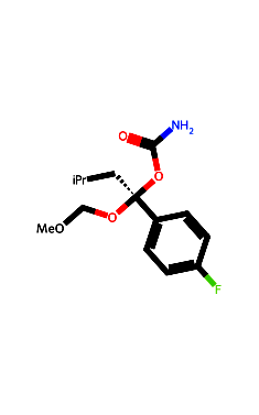 COCO[C@@](CC(C)C)(OC(N)=O)c1ccc(F)cc1